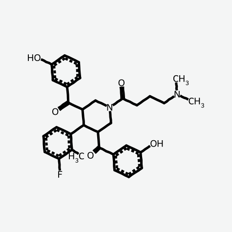 Cc1c(F)cccc1C1C(C(=O)c2cccc(O)c2)CN(C(=O)CCCN(C)C)CC1C(=O)c1cccc(O)c1